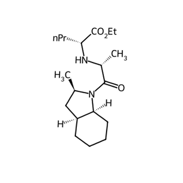 CCC[C@@H](N[C@H](C)C(=O)N1[C@H](C)C[C@@H]2CCCC[C@@H]21)C(=O)OCC